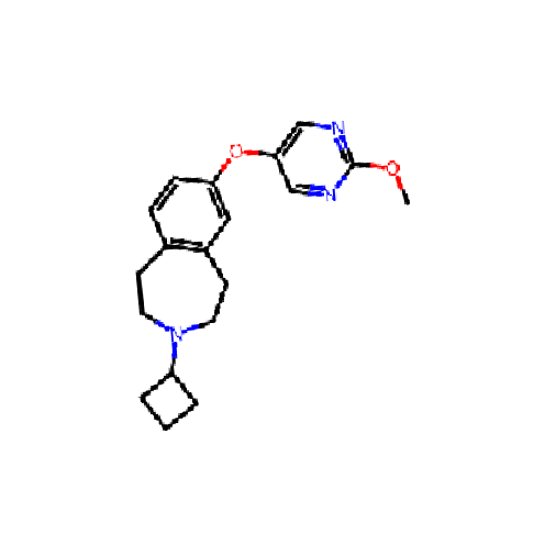 COc1ncc(Oc2ccc3c(c2)CCN(C2CCC2)CC3)cn1